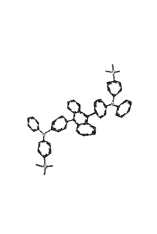 C[Si](C)(C)c1ccc(N(c2ccccc2)c2ccc(-c3c4ccccc4c(-c4ccc(N(c5ccccc5)c5ccc([Si](C)(C)C)cc5)cc4)c4ccccc34)cc2)cc1